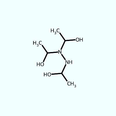 CC(O)NN(C(C)O)C(C)O